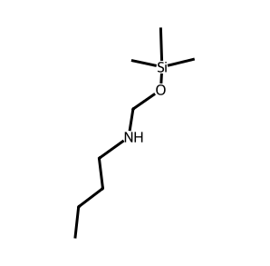 CCCCNCO[Si](C)(C)C